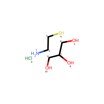 Cl.NCCS.OCC(O)CO